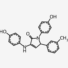 Cc1cccc(C2C=C(Nc3ccc(O)cc3)C(=O)N2c2ccc(O)cc2)c1